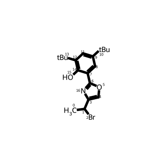 CC(Br)c1coc(-c2cc(C(C)(C)C)cc(C(C)(C)C)c2O)n1